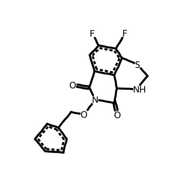 O=C1c2cc(F)c(F)c3c2C(NCS3)C(=O)N1OCc1ccccc1